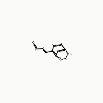 O=CC=Cc1ccc2cc1OCO2